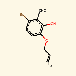 C=CCOc1ccc(Br)c(C=O)c1O